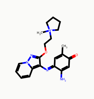 CC1=C/C(=N\c2c(OCC[N+]3(C)CCCC3)nn3ccccc23)C(N)=CC1=O